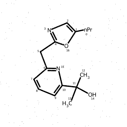 CCCc1cnc(Cc2cccc(C(C)(C)O)n2)o1